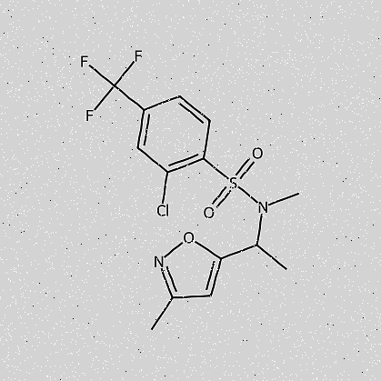 Cc1cc(C(C)N(C)S(=O)(=O)c2ccc(C(F)(F)F)cc2Cl)on1